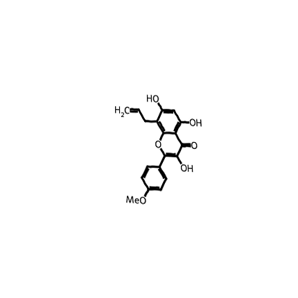 C=CCc1c(O)cc(O)c2c(=O)c(O)c(-c3ccc(OC)cc3)oc12